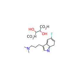 CN(C)CCCC1=CN=C2CC=C(F)C=C12.O=C(O)C(O)C(O)C(=O)O